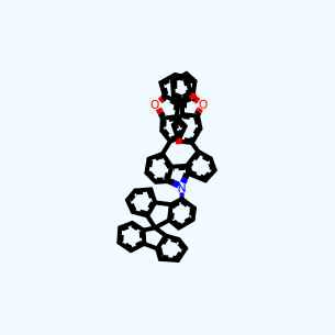 c1ccc2c(c1)-c1ccccc1C21c2ccccc2-c2c(-n3c4cccc(-c5ccc6c(c5)oc5ccccc56)c4c4c(-c5ccc6c(c5)oc5ccccc56)cccc43)cccc21